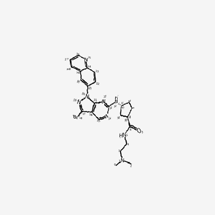 CN(C)CCNC(=O)[C@@H]1CC[C@@H](Nc2ncc3c(Br)nn(-c4ccc5ncccc5c4)c3n2)C1